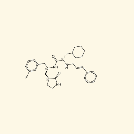 O=C1NCC[C@H]1C[C@@H](Cc1cccc(F)c1)NC(=O)[C@H](CC1CCCCC1)NCC=Cc1ccccc1